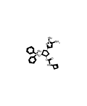 CC(C)(C)n1nc([C@@H]2C[C@H](OC(=O)NC34CC(C3)C4)[C@H](O[Si](c3ccccc3)(c3ccccc3)C(C)(C)C)C2)cc1N